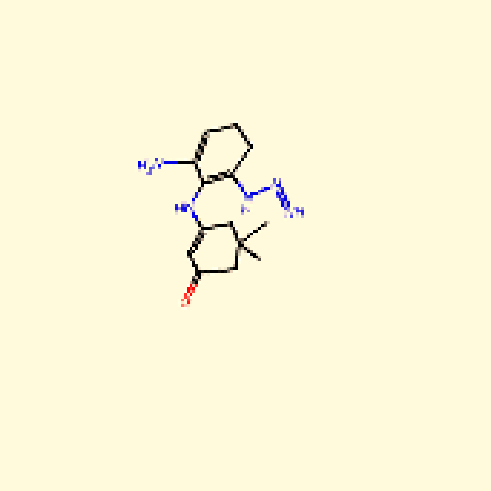 CC1(C)CC(=O)C=C(NC2=C(NN=N)CCC=C2N)C1